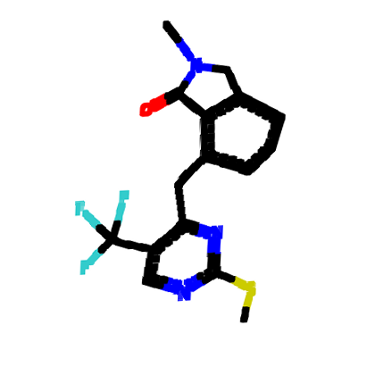 CSc1ncc(C(F)(F)F)c(Cc2cccc3c2C(=O)N(C)C3)n1